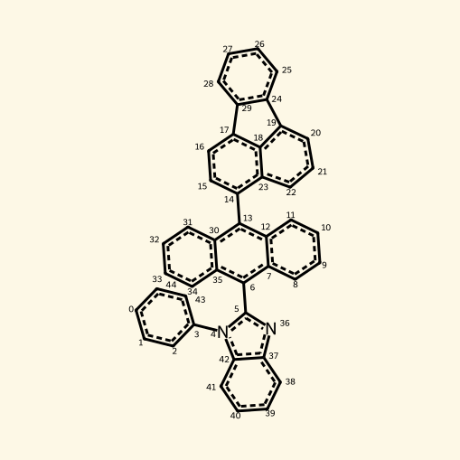 c1ccc(-n2c(-c3c4ccccc4c(-c4ccc5c6c(cccc46)-c4ccccc4-5)c4ccccc34)nc3ccccc32)cc1